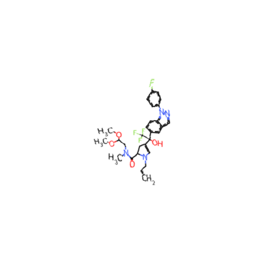 C=CCN1C=C(C(O)(c2ccc3c(cnn3-c3ccc(F)cc3)c2)C(F)(F)F)CC1C(=O)N(C)CC(OC)OC